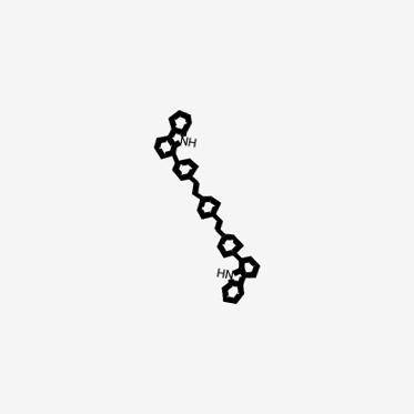 C(=C\c1ccc(-c2cccc3c2[nH]c2ccccc23)cc1)/c1ccc(/C=C/c2ccc(-c3cccc4c3[nH]c3ccccc34)cc2)cc1